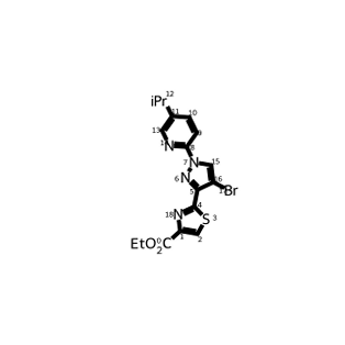 CCOC(=O)c1csc(-c2nn(-c3ccc(C(C)C)cn3)cc2Br)n1